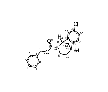 O=C(OCc1ccccc1)N1CC[C@@H]2C[C@H]1c1cc(Cl)ccc12